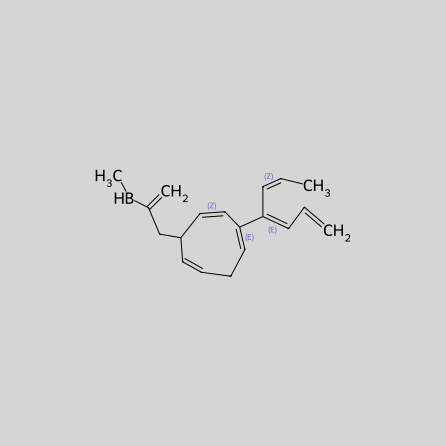 C=C/C=C(\C=C/C)C1=C/CC=CC(CC(=C)BC)/C=C\1